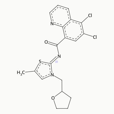 Cc1cn(CC2CCCO2)/c(=N/C(=O)c2cc(Cl)c(Cl)c3cccnc23)s1